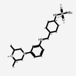 CC1CN(c2cccc(NCC3CCC(NS(=O)(=O)C(C)(C)C)CC3)c2)CC(C)O1